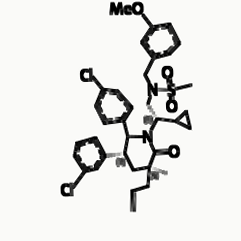 C=CC[C@@]1(C)C[C@H](c2cccc(Cl)c2)C(c2ccc(Cl)cc2)N([C@H](CN(Cc2cccc(OC)c2)S(C)(=O)=O)C2CC2)C1=O